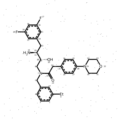 CCc1cccc(CN(C[C@@H](O)[C@@H](N)Cc2cc(F)cc(F)c2)C(=O)Cc2ccc(N3CCOCC3)cc2)c1